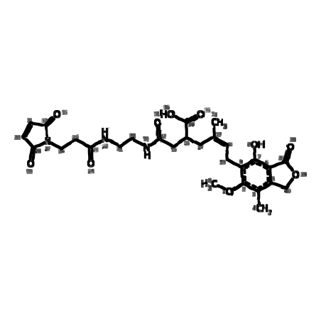 COc1c(C)c2c(c(O)c1CC=C(C)CC(CC(=O)NCCNC(=O)CCN1C(=O)C=CC1=O)C(=O)O)C(=O)OC2